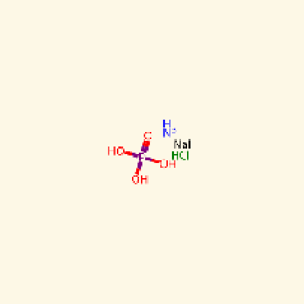 Cl.N.O=P(O)(O)O.[NaH]